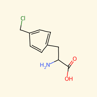 NC(Cc1ccc(CCl)cc1)C(=O)O